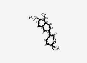 Nc1ccc2cc(-c3ccc(O)nc3)ccc2c1C=O